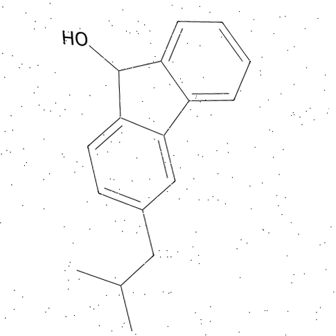 CC(C)Cc1ccc2c(c1)-c1ccccc1C2O